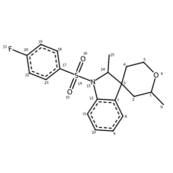 CC1CC2(CCO1)c1ccccc1N(S(=O)(=O)c1ccc(F)cc1)C2C